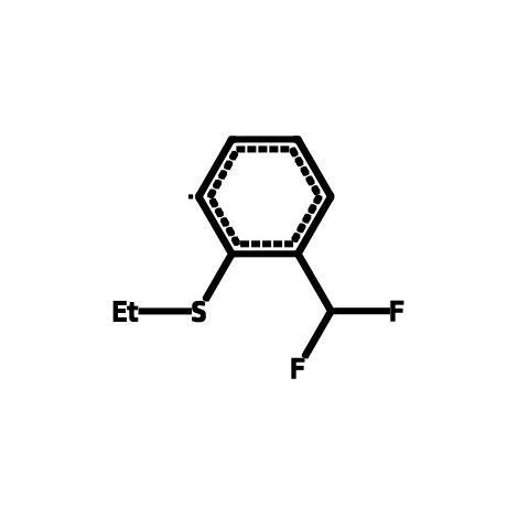 CCSc1[c]cccc1C(F)F